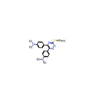 CCCCCSc1nnc(-c2ccc(N(CC)CC)cc2)c(-c2ccc(N(CC)CC)cc2)n1